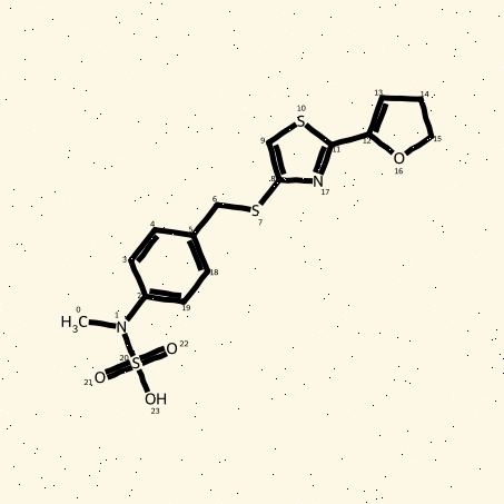 CN(c1ccc(CSc2csc(C3=CCCO3)n2)cc1)S(=O)(=O)O